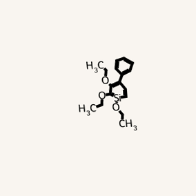 CCOc1c(-c2ccccc2)cc[si](OCC)c1OCC